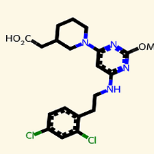 COc1nc(NCCc2ccc(Cl)cc2Cl)cc(N2CCCC(CC(=O)O)C2)n1